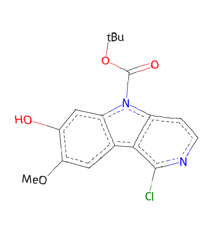 COc1cc2c3c(Cl)nccc3n(C(=O)OC(C)(C)C)c2cc1O